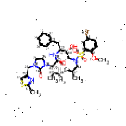 COc1ccc(Br)cc1S(=O)(=O)N(CC(C)C)C[C@@H](O)[C@H](Cc1ccccc1)NC(=O)[C@H](C(C)C)N1CCN(Cc2csc(C)n2)C1=O